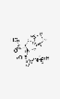 Br.C[C@H](N)C(=O)N1CC2(CC1C(=O)O)SCCS2